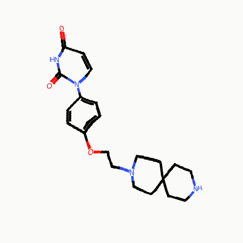 O=c1ccn(-c2ccc(OCCN3CCC4(CCNCC4)CC3)cc2)c(=O)[nH]1